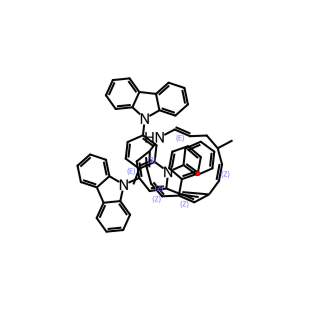 Cc1ccc(-n2c3ccccc3c3ccccc32)cc1N(\C1=C/C(n2c3ccccc3c3ccccc32)=C\C2=C\C=C/C(c3ccccc3)=C/C(=C1)/C=C\C(C)C/C=C/N2)c1ccccc1